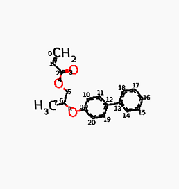 C=CC(=O)OCC(C)Oc1ccc(-c2ccccc2)cc1